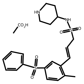 CC(=O)O.Cc1ccc(S(=O)(=O)c2ccccc2)cc1C=CCS(=O)(=O)NC1CCNCC1